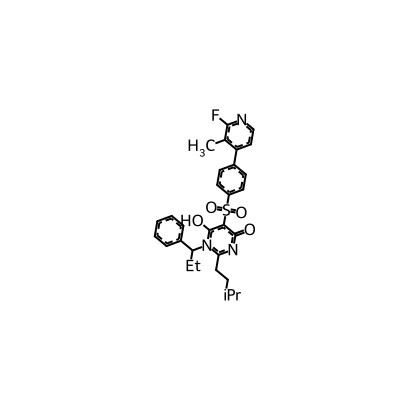 CCC(c1ccccc1)n1c(CCC(C)C)nc(=O)c(S(=O)(=O)c2ccc(-c3ccnc(F)c3C)cc2)c1O